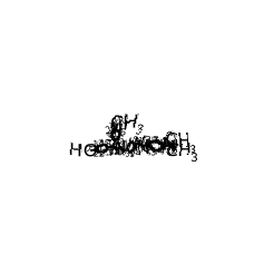 CN(C)c1ccc(/N=N/c2ccc(/C=N/N=C(/c3ccc(O)cc3)c3cc[n+](C)cc3)cc2)cc1